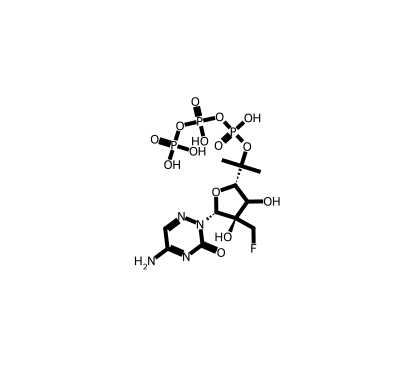 CC(C)(OP(=O)(O)OP(=O)(O)OP(=O)(O)O)[C@H]1O[C@@H](n2ncc(N)nc2=O)[C@@](O)(CF)C1O